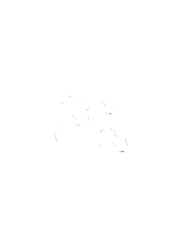 COc1cccn2c(=O)cc(C(NC(=O)[C@@H]3[C@@H]4[C@H](CN3C(=O)[C@@H](NC(=O)C(F)(F)F)C(C)(C)C)C4(C)C)C(N)=O)nc12